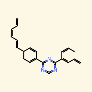 C=C/C=C\C=C\C1C=CC(c2ncnc(C(/C=C\C)=C/C=C)n2)=CC1